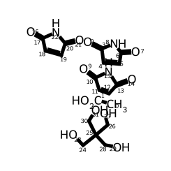 CC(=O)O.O=C1C=CC(=O)N1.O=C1C=CC(=O)N1.O=C1C=CC(=O)N1.OCC(CO)(CO)CO